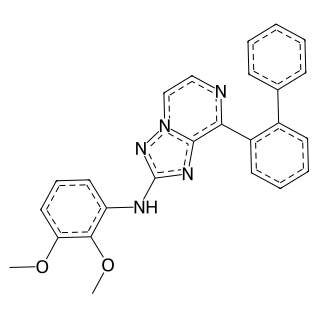 COc1cccc(Nc2nc3c(-c4ccccc4-c4ccccc4)nccn3n2)c1OC